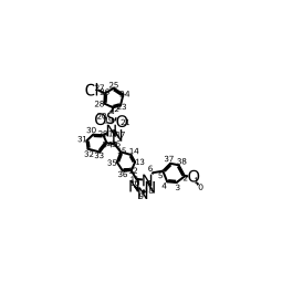 COc1ccc(Cn2nnnc2-c2ccc(-c3nn(S(=O)(=O)c4cccc(Cl)c4)c4ccccc34)cc2)cc1